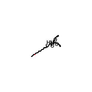 C#CCOCC(C)(COCC#C)NC(=O)CCSCCCCCCCCCCCC